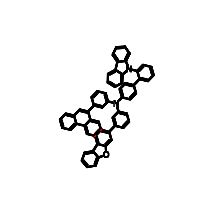 c1cc(-c2ccc3c(c2)oc2ccccc23)cc(N(c2ccc(-c3ccccc3-n3c4ccccc4c4ccccc43)cc2)c2cccc(-c3cc4ccccc4c4ccccc34)c2)c1